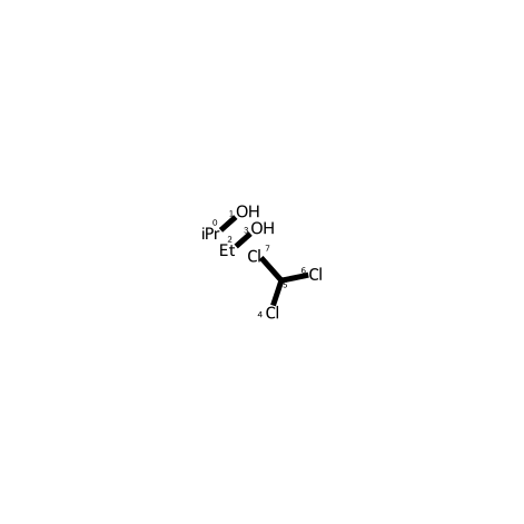 CC(C)O.CCO.ClC(Cl)Cl